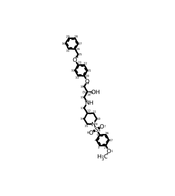 COc1ccc(S(=O)(=O)N2CCC(CNC[C@H](O)COc3ccc(OCc4ccccc4)cc3)CC2)cc1